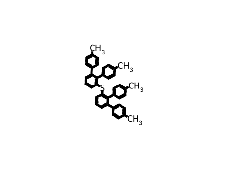 Cc1ccc(-c2cccc(Sc3cccc(-c4ccc(C)cc4)c3-c3ccc(C)cc3)c2-c2ccc(C)cc2)cc1